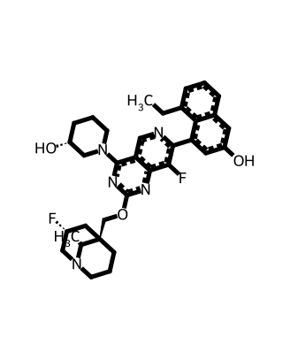 CCc1cccc2cc(O)cc(-c3ncc4c(N5CCC[C@@H](O)C5)nc(OC[C@]56CCCN(C[C@H](F)C5)C6C)nc4c3F)c12